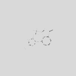 Cc1nc(N)sc1-c1cccc2c1C(C(F)(F)F)=NC2=O